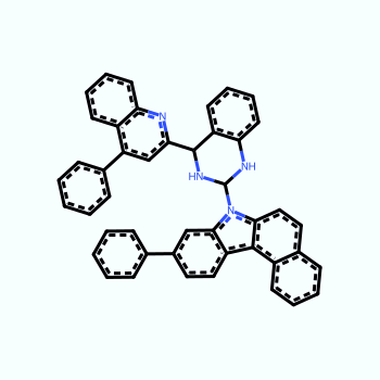 c1ccc(-c2ccc3c4c5ccccc5ccc4n(C4Nc5ccccc5C(c5cc(-c6ccccc6)c6ccccc6n5)N4)c3c2)cc1